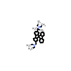 CCN(CC)Cc1ccc2c(c1)C1(c3ccccc3-c3ccccc31)c1cc(C(C)(C)N(CC)CC)ccc1-2